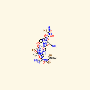 CC(=O)N[C@@H](CS)C(=O)N[C@@H](CS)C(=O)N[C@@H](Cc1c[nH]cn1)C(=O)N1CCC[C@H]1C(=O)N[C@@H](C)C(=O)N[C@@H](CS)C(=O)NCC(=O)N[C@@H](CCCNC(=N)N)C(=O)N[C@@H](CCCCN)C(=O)N[C@@H](Cc1ccc(O)cc1)C(=O)N[C@@H](CO)C(=O)N[C@@H](CS)C(N)=O